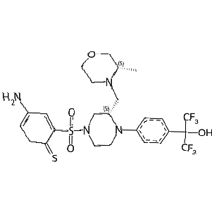 C[C@H]1COCCN1C[C@H]1CN(S(=O)(=O)C2=CC(N)=CCC2=S)CCN1c1ccc(C(O)(C(F)(F)F)C(F)(F)F)cc1